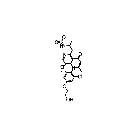 Cc1cc(=O)c2c(CC(C)C[SH](=O)=O)ncc(Cl)c2n1-c1c(Cl)cc(OCCO)cc1Cl